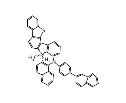 C[Si]1(C)c2ccc3c(sc4ccccc43)c2-c2cccc(N(c3ccc(-c4ccc5ccccc5c4)cc3)c3cccc4ccccc34)c21